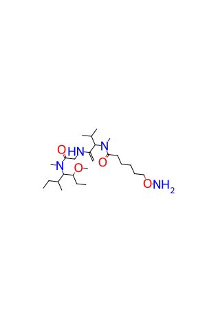 C=C(NCC(=O)N(C)C(C(C)CC)C(CC)OC)C(C(C)C)N(C)C(=O)CCCCCON